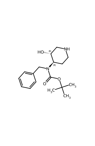 CC(C)(C)OC(=O)N(Cc1ccccc1)[C@@H]1CCNC[C@H]1O